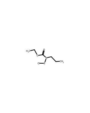 CCCN(SCl)C(=O)OCC